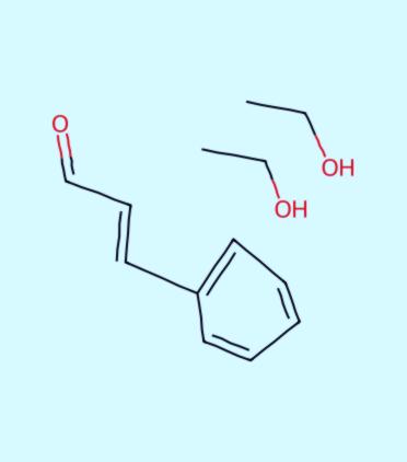 CCO.CCO.O=CC=Cc1ccccc1